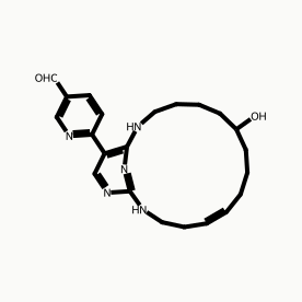 O=Cc1ccc(-c2cnc3nc2NCCCCC(O)CCCC=CCCN3)nc1